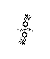 CC(C)(c1ccc(OS(=O)(=O)F)cc1)c1ccc(OS(=O)(=O)F)cc1